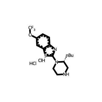 CCCC[C@@H]1CNCCN1c1nc2ccc(OC(F)(F)F)cc2s1.Cl.Cl